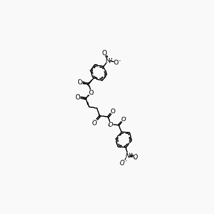 O=C(CCC(=O)C(=O)OC(=O)c1ccc([N+](=O)[O-])cc1)OC(=O)c1ccc([N+](=O)[O-])cc1